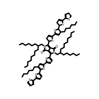 CCCCCCCCC(CCCCCC)CN1C(=O)C2=C(C3CC=C(C4=CC(CCCCCC)C(C5CC=C(C6=CCCS6)S5)S4)S3)N(CC(CCCCCC)CCCCCCCC)C(=O)C2=C1c1ccc(-c2cc(CCCCCC)c(-c3ccc(-c4cccs4)s3)s2)s1